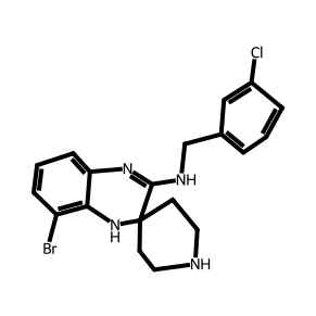 Clc1cccc(CNC2=Nc3cccc(Br)c3NC23CCNCC3)c1